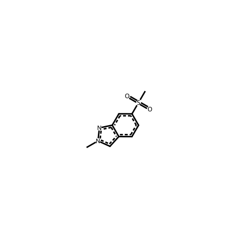 Cn1cc2ccc(S(C)(=O)=O)cc2n1